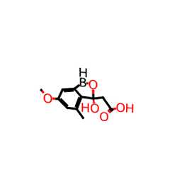 COc1cc(C)c2c(c1)BO[C@]2(O)CC(=O)O